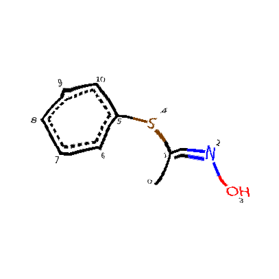 C/C(=N\O)Sc1ccccc1